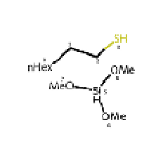 CCCCCCCCS.CO[SiH](OC)OC